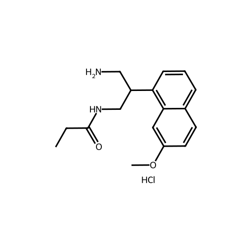 CCC(=O)NCC(CN)c1cccc2ccc(OC)cc12.Cl